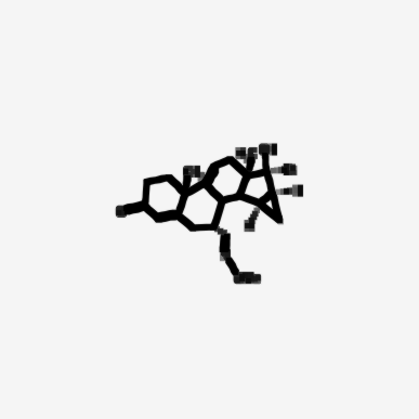 CC[C@]1(O)[C@H]2C[C@H]2C2C3C(=CC[C@@]21C)[C@@]1(C)CCC(=O)C=C1C[C@H]3/C=N/OC